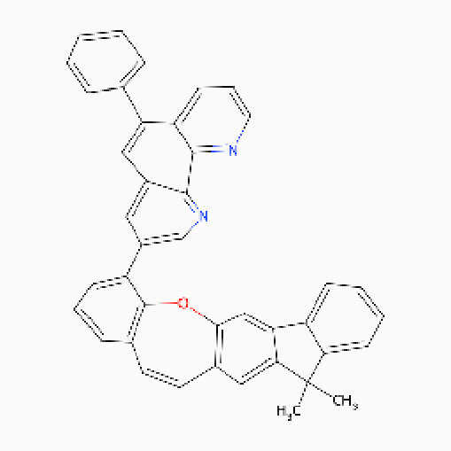 CC1(C)c2ccccc2-c2cc3c(cc21)C=Cc1cccc(-c2cnc4c(c2)cc(-c2ccccc2)c2cccnc24)c1O3